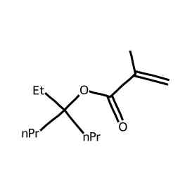 C=C(C)C(=O)OC(CC)(CCC)CCC